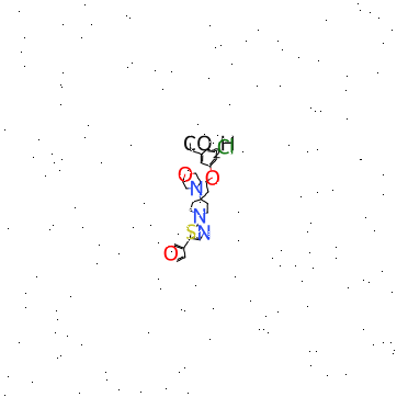 O=C(O)Cc1cc(Cl)cc(OCCC2(N3CCOCC3)CCN(c3ncc(-c4ccoc4)s3)CC2)c1